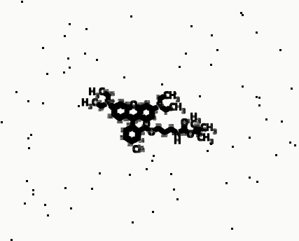 CCN(CC)c1ccc2c(-c3ccccc3C(=O)OCCCNC(=O)OC(C)(C)C)c3ccc(=[N+](CC)CC)cc-3oc2c1.[Cl-]